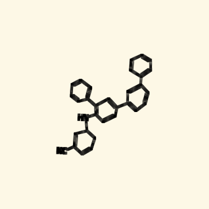 N#CC1=CC(Nc2ccc(-c3cccc(-c4ccccc4)c3)cc2-c2ccccc2)CC=C1